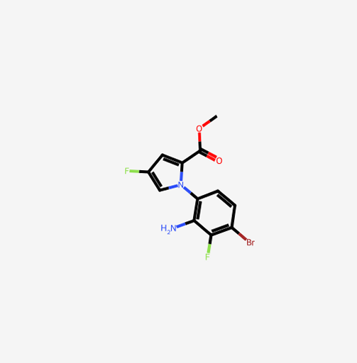 COC(=O)c1cc(F)cn1-c1ccc(Br)c(F)c1N